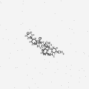 Cc1ccc(-c2nn(C(C)(C)CNC(=O)c3cc(N4CCOCC4)ccn3)c3ncnc(N)c23)cc1